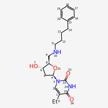 CCc1cn([C@H]2C[C@H](O)[C@@H](CNCCCCc3ccccc3)O2)c(=O)[nH]c1=O